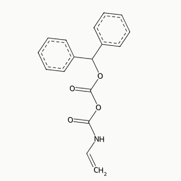 C=CNC(=O)OC(=O)OC(c1ccccc1)c1ccccc1